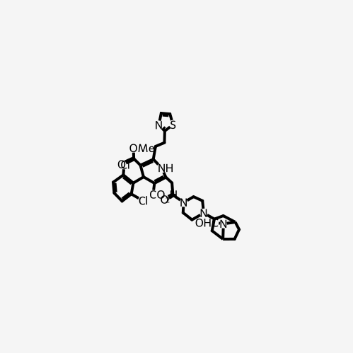 COC(=O)C1=C(CCc2nccs2)NC(CC(=O)N2CCN(C3CC4CCC(C3)N4C=O)CC2)=C(C(=O)O)C1c1c(Cl)cccc1Cl